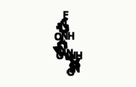 COc1cc(-c2cc(C(=O)N3CC[C@H](C(=O)NC4CCN(CCF)C(C)(C)C4)CC34CC4)n[nH]2)c(F)cn1